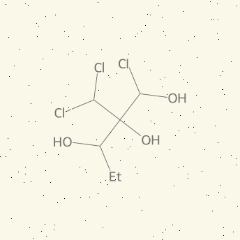 CCC(O)C(O)(C(O)Cl)C(Cl)Cl